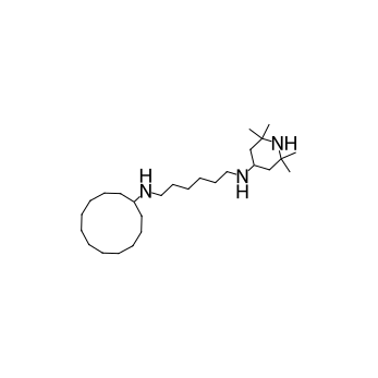 CC1(C)CC(NCCCCCCNC2CCCCCCCCCCC2)CC(C)(C)N1